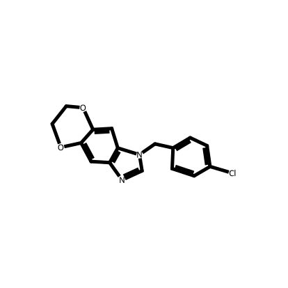 Clc1ccc(Cn2cnc3cc4c(cc32)OCCO4)cc1